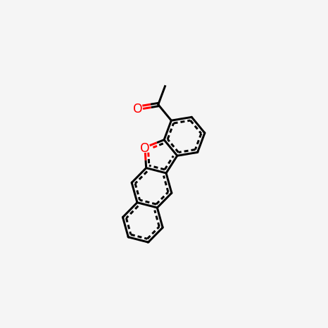 CC(=O)c1cccc2c1oc1cc3ccccc3cc12